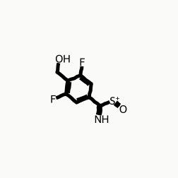 N=C([S+]=O)c1cc(F)c(CO)c(F)c1